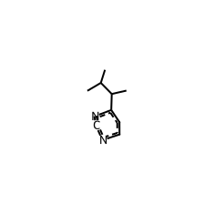 CC(C)C(C)c1ccncn1